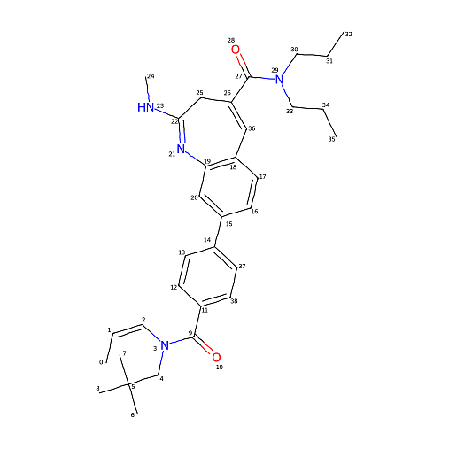 C/C=C\N(CC(C)(C)C)C(=O)c1ccc(-c2ccc3c(c2)N=C(NC)CC(C(=O)N(CCC)CCC)=C3)cc1